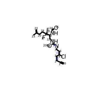 C#C/C=C\C(Cl)=C/C/N=C(/NCC(NC=O)C(F)(F)CCC(=C)C)OC